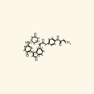 C=CC(=O)Nc1ccc(CNC(=O)[C@H]2CNC[C@@H](Nc3ncc(Cl)c(-c4c[nH]c5ccccc45)n3)C2)cc1